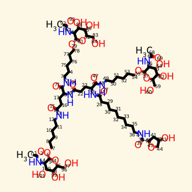 CC(=O)NC1C(OCCCCCCNC(=O)CCC(NC(=O)CCC(NC(=O)CCCCCCCCCNC(=O)[C@@H]2C[C@@H](O)CO2)C(=O)NCCCCCCOC2OC(CO)C(O)C(O)C2NC(C)=O)C(=O)NCCCCCCOC2OC(CO)C(O)C(O)C2NC(C)=O)OC(CO)C(O)C1O